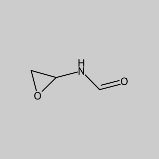 O=CNC1CO1